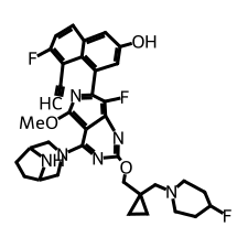 C#Cc1c(F)ccc2cc(O)cc(-c3nc(OC)c4c(N5CC6CCC(C5)N6)nc(OCC5(CN6CCC(F)CC6)CC5)nc4c3F)c12